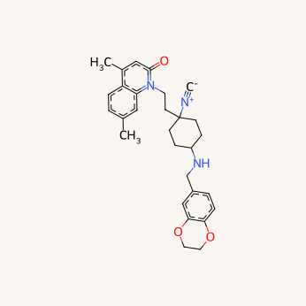 [C-]#[N+]C1(CCn2c(=O)cc(C)c3ccc(C)cc32)CCC(NCc2ccc3c(c2)OCCO3)CC1